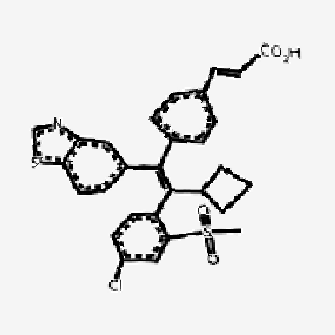 CS(=O)(=O)c1cc(Cl)ccc1C(=C(c1ccc(C=CC(=O)O)cc1)c1ccc2scnc2c1)C1CCC1